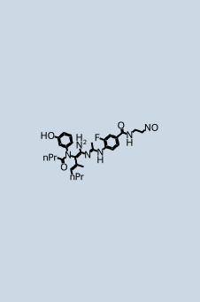 CCC/C=C(C)/C(=C(N)\N=C(/C)Nc1ccc(C(=O)NCCN=O)cc1F)N(C(=O)CCC)c1cccc(O)c1